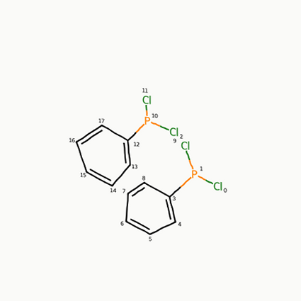 ClP(Cl)c1ccccc1.ClP(Cl)c1ccccc1